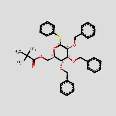 CC(C)(C)C(=O)OC[C@H]1O[C@@H](Sc2ccccc2)[C@H](OCc2ccccc2)[C@@H](OCc2ccccc2)[C@@H]1OCc1ccccc1